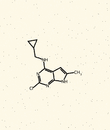 Cc1cc2c(NCC3CC3)nc(Cl)nc2[nH]1